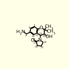 CC1(C)Oc2ccc(CN)cc2C(N2CCCC2=O)C1O